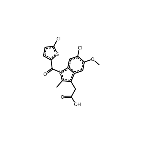 COc1cc2c(CC(=O)O)c(C)n(C(=O)c3ccc(Cl)s3)c2cc1Cl